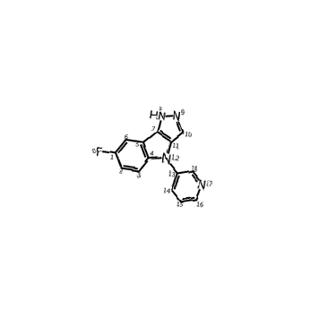 Fc1ccc2c(c1)c1[nH]ncc1n2-c1cccnc1